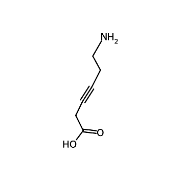 NCCC#CCC(=O)O